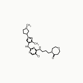 Cc1nn(C2CCN(C)C2)cc1Nc1ncc(Cl)c(NCCCN2CCOCCC2=O)n1